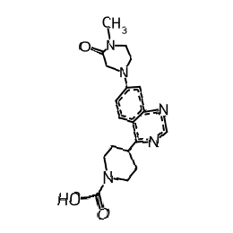 CN1CCN(c2ccc3c(C4CCN(C(=O)O)CC4)ncnc3c2)CC1=O